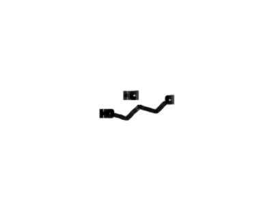 Cl.OCCCCl